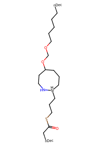 CCCCCCCCCCCCCCCOCOC1CCC[SiH](CCCSC(=O)CCCCCCCCCCC)NCC1